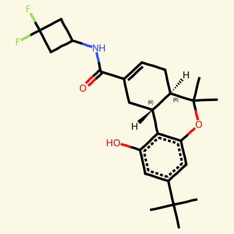 CC(C)(C)c1cc(O)c2c(c1)OC(C)(C)[C@@H]1CC=C(C(=O)NC3CC(F)(F)C3)C[C@@H]21